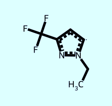 CCn1[c]cc(C(F)(F)F)n1